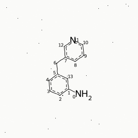 Nc1[c]ccc(Cc2cccnc2)c1